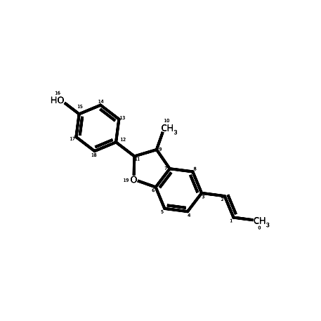 CC=Cc1ccc2c(c1)C(C)C(c1ccc(O)cc1)O2